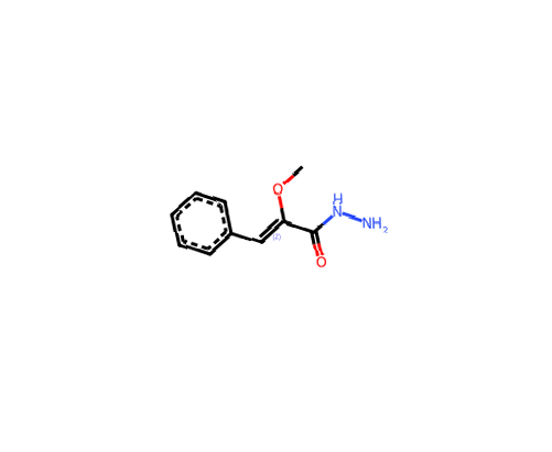 CO/C(=C\c1ccccc1)C(=O)NN